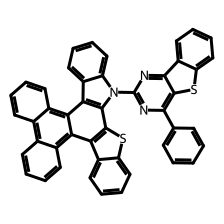 c1ccc(-c2nc(-n3c4ccccc4c4c5c6ccccc6c6ccccc6c5c5c6ccccc6sc5c43)nc3c2sc2ccccc23)cc1